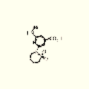 CCC(C)Nc1cc(C(=O)O)cc(N2CCCCS2(=O)=O)n1